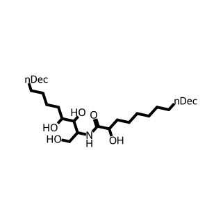 CCCCCCCCCCCCCCCCC(O)C(=O)NC(CO)C(O)C(O)CCCCCCCCCCCCCC